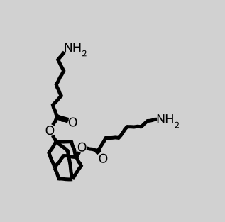 NCCCCCC(=O)OC12CC3CC(C1)CC(OC(=O)CCCCCN)(C3)C2